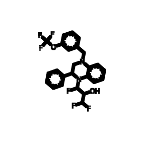 OC(C(F)F)C(F)N1c2ccccc2N(Cc2cccc(OC(F)(F)F)c2)CC1c1ccccc1